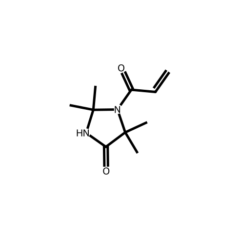 C=CC(=O)N1C(C)(C)NC(=O)C1(C)C